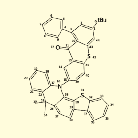 CC(C)(C)c1cc(-c2ccccc2)c2c(=O)c3cc(N4c5ccccc5C(C)(C)c5ccc6c(sc7ccccc76)c54)ccc3sc2c1